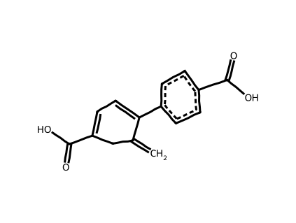 C=C1CC(C(=O)O)=CC=C1c1ccc(C(=O)O)cc1